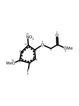 COC(=O)COc1cc(F)c(OC)cc1[N+](=O)[O-]